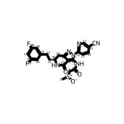 C[S+]([O-])CC(=O)Nc1c2c(nn1-c1ccc(C#N)cn1)C[C@H](CCc1cc(F)cc(F)c1)NC2=O